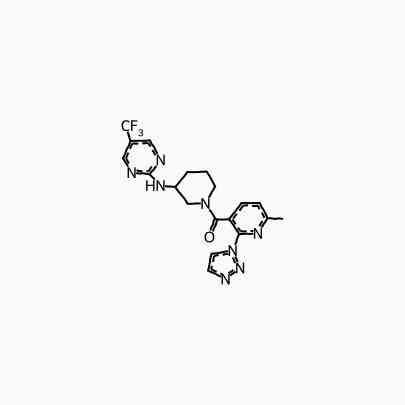 Cc1ccc(C(=O)N2CCCC(Nc3ncc(C(F)(F)F)cn3)C2)c(-n2ccnn2)n1